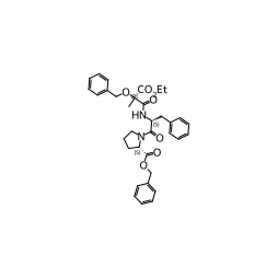 CCOC(=O)[C@](C)(OCc1ccccc1)C(=O)N[C@@H](Cc1ccccc1)C(=O)N1CCC[C@H]1C(=O)OCc1ccccc1